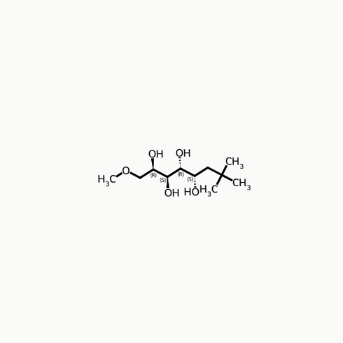 COC[C@@H](O)[C@H](O)[C@H](O)[C@@H](O)CC(C)(C)C